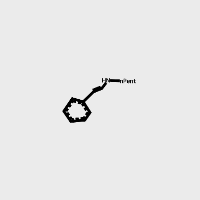 CCCCCNC=Cc1ccccc1